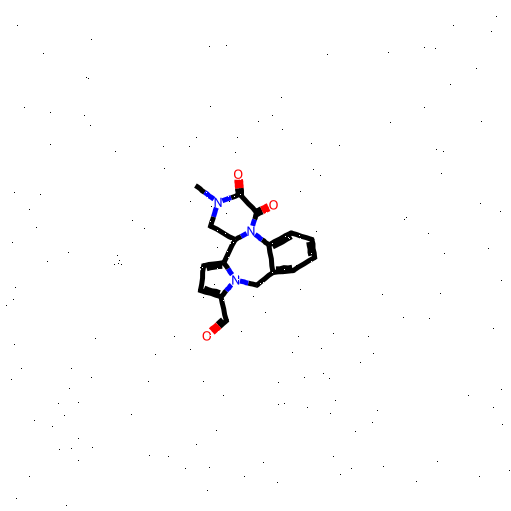 CN1CC2c3ccc(C=O)n3Cc3ccccc3N2C(=O)C1=O